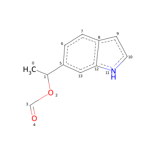 CC(OC=O)c1ccc2cc[nH]c2c1